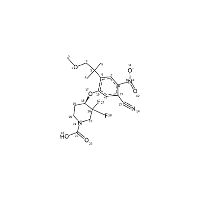 COCC(C)(C)c1cc([N+](=O)[O-])c(C#N)cc1O[C@@H]1CCN(C(=O)O)CC1(F)F